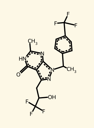 Cc1nc2c(c(CC(O)C(F)(F)F)nn2C(C)c2ccc(C(F)(F)F)cc2)c(=O)[nH]1